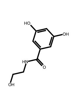 O=C(NCCO)c1cc(O)cc(O)c1